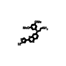 CCn1cc(-c2cnc3ccc(N(CCN)c4cc(OC)cc(OC)c4)cc3n2)cn1